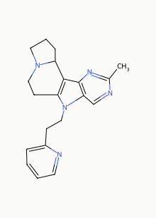 Cc1ncc2c(n1)c1c(n2CCc2ccccn2)CCN2CCCC12